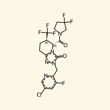 O=C([C@H]1[C@H](C(F)(F)F)CCc2nn(Cc3ncc(Cl)cc3F)c(=O)n21)N1CCC(F)(F)C1